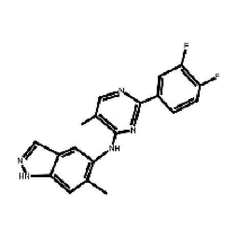 Cc1cc2[nH]ncc2cc1Nc1nc(-c2ccc(F)c(F)c2)ncc1C